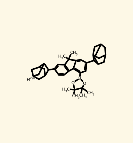 CC1(C)c2cc(C3C4CC5C[C@H](C4)CC53)ccc2-c2c(B3OC(C)(C)C(C)(C)O3)cc(C3C4CC5CC(C4)CC3C5)cc21